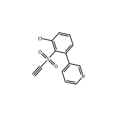 C#CS(=O)(=O)c1c(Cl)cccc1-c1cccnc1